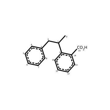 CC(Cc1ccccc1)c1ccccc1C(=O)O